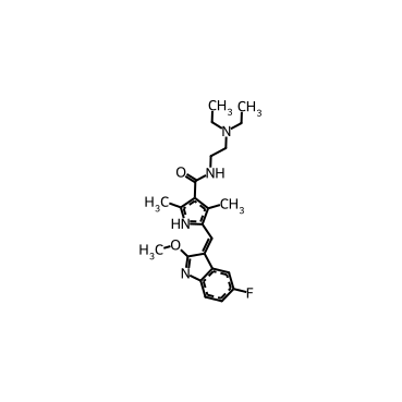 CCN(CC)CCNC(=O)c1c(C)[nH]c(/C=C2\C(OC)=Nc3ccc(F)cc32)c1C